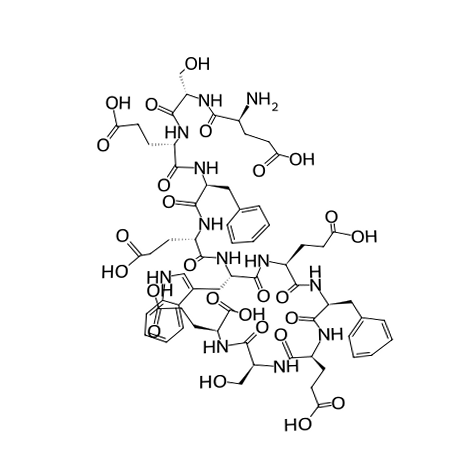 N[C@@H](CCC(=O)O)C(=O)N[C@@H](CO)C(=O)N[C@@H](CCC(=O)O)C(=O)N[C@@H](Cc1ccccc1)C(=O)N[C@@H](CCC(=O)O)C(=O)N[C@@H](Cc1c[nH]c2ccccc12)C(=O)N[C@@H](CCC(=O)O)C(=O)N[C@@H](Cc1ccccc1)C(=O)N[C@@H](CCC(=O)O)C(=O)N[C@@H](CO)C(=O)N[C@@H](CCC(=O)O)C(=O)O